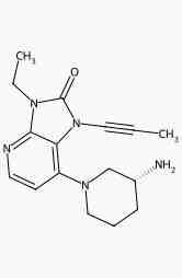 CC#Cn1c(=O)n(CC)c2nccc(N3CCC[C@@H](N)C3)c21